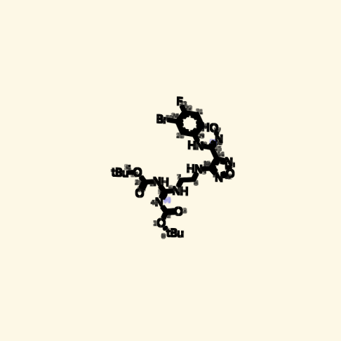 CC(C)(C)OC(=O)/N=C(\NCCNc1nonc1/C(=N/O)Nc1ccc(F)c(Br)c1)NC(=O)OC(C)(C)C